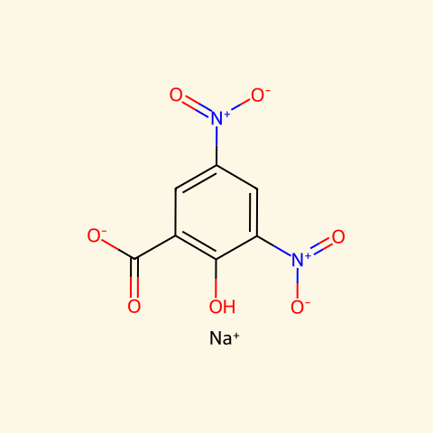 O=C([O-])c1cc([N+](=O)[O-])cc([N+](=O)[O-])c1O.[Na+]